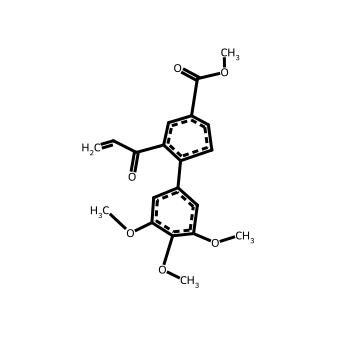 C=CC(=O)c1cc(C(=O)OC)ccc1-c1cc(OC)c(OC)c(OC)c1